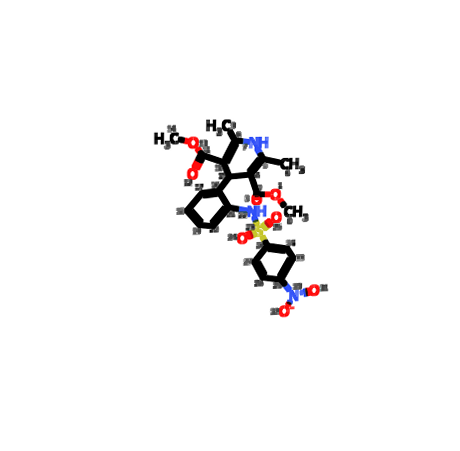 COC(=O)C1=C(C)NC(C)=C(C(=O)OC)C1c1ccccc1NS(=O)(=O)c1ccc([N+](=O)[O-])cc1